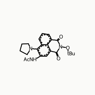 CC(=O)Nc1cc2c3c(cccc3c1N1CCCC1)C(=O)N(OC(C)(C)C)C2=O